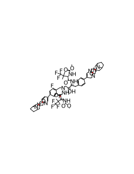 COC(=O)NC(C(=O)N[C@@H](Cc1ccc(-c2cnc(N3CC4CCC(C3)N4C3COC3)nc2)cc1)[C@@H](O)CN(Cc1c(F)cc(-c2ccc(N3CC4CCC(C3)N4C3COC3)nc2)cc1F)NC(=O)[C@@H](NC(=O)OC)C(C)(C)C(F)(F)F)C(C)(C)C(F)(F)F